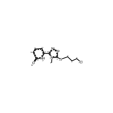 Cn1c(SCCCCl)nnc1-c1cccc(=O)[nH]1